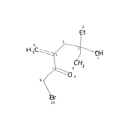 C=C(CC(C)(O)CC)C(=O)CBr